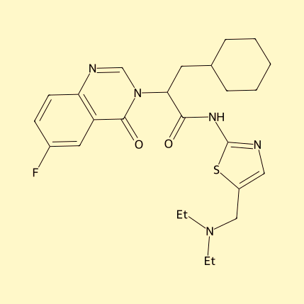 CCN(CC)Cc1cnc(NC(=O)C(CC2CCCCC2)n2cnc3ccc(F)cc3c2=O)s1